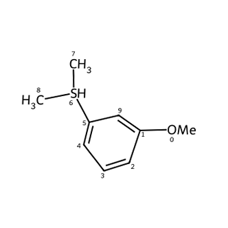 COc1cccc([SH](C)C)c1